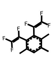 Cc1cc(C)c(C(F)=C(F)F)c(C(F)=C(F)F)c1C